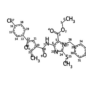 CCOC(=O)c1c(NC(=O)c2cc(-c3ccc(Cl)cc3)oc2C)nc(SC)n1Cc1ccccc1